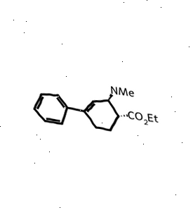 CCOC(=O)[C@@H]1CCC(c2ccccc2)=C[C@H]1NC